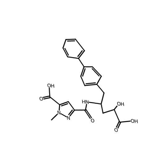 Cn1nc(C(=O)NC(Cc2ccc(-c3ccccc3)cc2)CC(O)C(=O)O)cc1C(=O)O